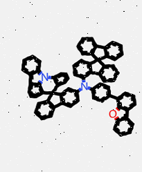 c1ccc2c(c1)-c1ccccc1C21c2ccccc2-c2c(N(c3ccc(-c4cccc5c4oc4ccccc45)cc3)c3ccc4c(c3)C3(c5ccccc5-4)c4ccccc4-n4c5ccccc5c5cccc3c54)cccc21